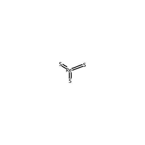 [S]=[Re](=[S])=[S]